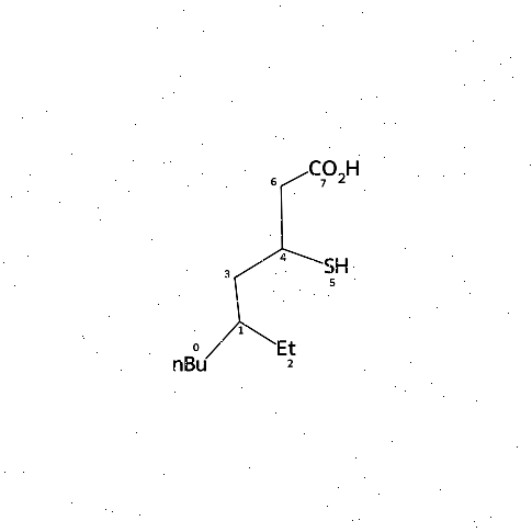 CCCCC(CC)CC(S)CC(=O)O